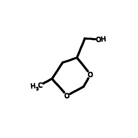 CC1CC(CO)OCO1